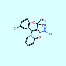 CC1(C)Oc2ccc(Cl)cc2C(n2ccccc2=O)=C1CNO